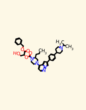 CCCC1CN(c2ccnn3cc(-c4ccc(C5CCN(C(C)C)CC5)cc4)cc23)CCN1C(=O)OC(CO)C(=O)OCc1ccccc1